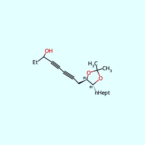 CCCCCCC[C@H]1OC(C)(C)O[C@@H]1CC#CC#CC(O)CC